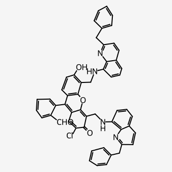 O=Cc1ccccc1-c1c2cc(Cl)c(=O)c(CNc3cccc4ccc(Cc5ccccc5)nc34)c-2oc2c(CNc3cccc4ccc(Cc5ccccc5)nc34)c(O)ccc12